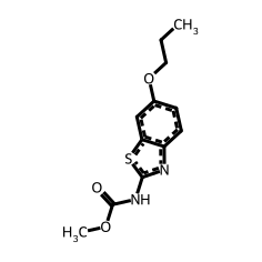 CCCOc1ccc2nc(NC(=O)OC)sc2c1